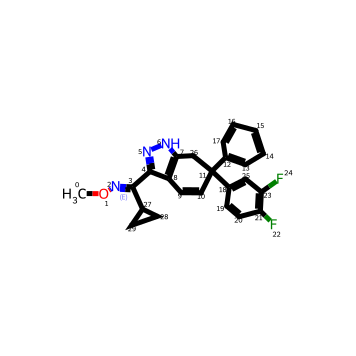 CO/N=C(/c1n[nH]c2c1C=CC(c1ccccc1)(c1ccc(F)c(F)c1)C2)C1CC1